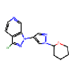 Brc1nn(-c2cnn(C3CCCCO3)c2)c2cnccc12